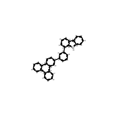 c1cc(-c2ccc3c4ccccc4c4ccccc4c3c2)cc(-c2cccc3c2oc2ccccc23)c1